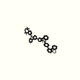 CC1(C)CCC(C)(C)c2cc(-n3c4ccccc4c4cc(-c5ccc6c(c5)c5ccccc5n6-c5ccc(-c6cccc7oc8ccccc8c67)cc5)ccc43)ccc21